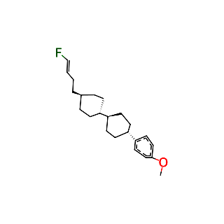 COc1ccc([C@H]2CC[C@H]([C@H]3CC[C@H](CCC=CF)CC3)CC2)cc1